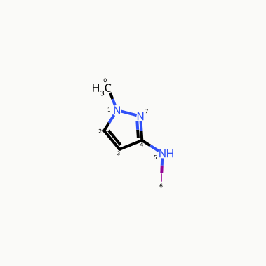 Cn1ccc(NI)n1